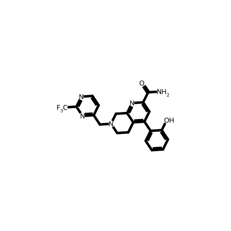 NC(=O)c1cc(-c2ccccc2O)c2c(n1)CN(Cc1ccnc(C(F)(F)F)n1)CC2